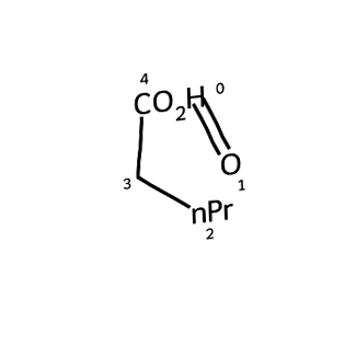 C=O.CCCCC(=O)O